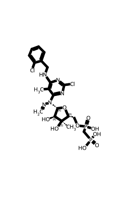 C=NN(c1nc(Cl)nc(NCc2ccccc2Cl)c1C)[C@@H]1O[C@H](COP(=O)(O)CP(=O)(O)O)[C@@](C)(O)[C@H]1O